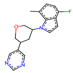 Cc1ccc(F)c2ccn(C3COCC(c4cncnc4)C3)c12